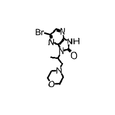 CC(CN1CCOCC1)n1c(=O)[nH]c2ncc(Br)nc21